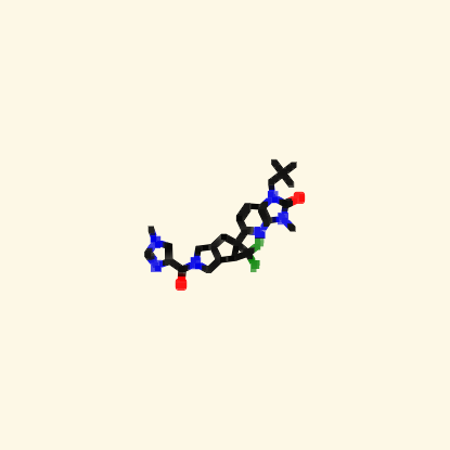 Cn1cnc(C(=O)N2CC3CC4(c5ccc6c(n5)n(C)c(=O)n6CC(C)(C)C)C(C3C2)C4(F)F)c1